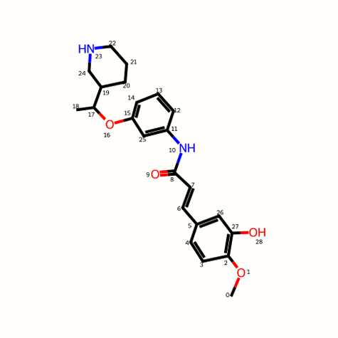 COc1ccc(C=CC(=O)Nc2cccc(OC(C)C3CCCNC3)c2)cc1O